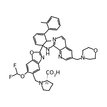 Cc1ccccc1C1=CC=CC(Nc2nccc3cc(CN4CCOCC4)cnc23)(c2nc3cc(CN4CCC[C@H]4C(=O)O)c(OC(F)F)cc3o2)C1C